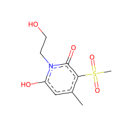 Cc1cc(O)n(CCO)c(=O)c1S(C)(=O)=O